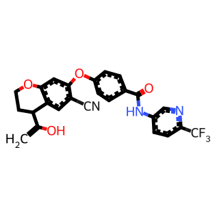 C=C(O)C1CCOc2cc(Oc3ccc(C(=O)Nc4ccc(C(F)(F)F)nc4)cc3)c(C#N)cc21